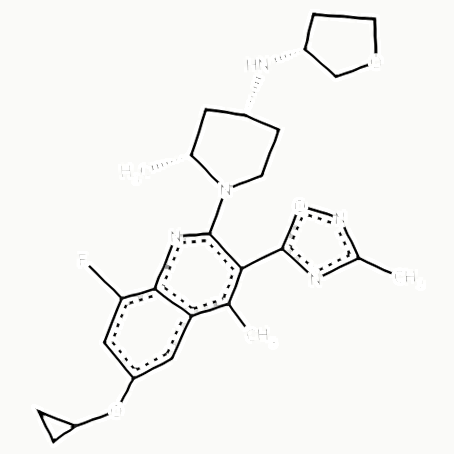 Cc1noc(-c2c(N3CC[C@@H](N[C@@H]4CCOC4)C[C@H]3C)nc3c(F)cc(OC4CC4)cc3c2C)n1